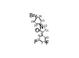 O=C1C(c2cc(F)cc(F)c2)CCN1c1ccc(Br)cc1